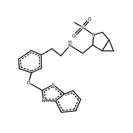 CS(=O)(=O)N1CC2CC2C1CNCCc1cccc(Oc2nc3ccccc3s2)c1